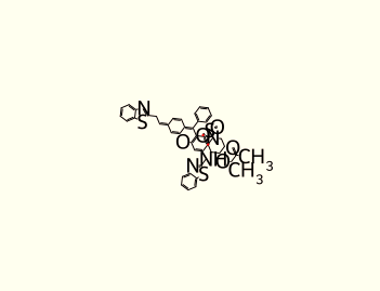 CC(=O)C(C)OC1CCN(S(=O)(=O)c2ccccc2C2=c3cc/c(=C\Cc4nc5ccccc5s4)cc3Oc3cc(Nc4nc5ccccc5s4)ccc32)CC1